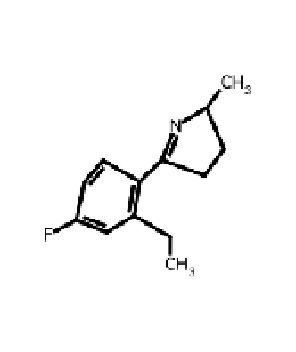 CCc1cc(F)ccc1C1=NC(C)CC1